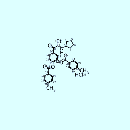 CCC(NC1CCCC1)C(=O)c1ccc(OC(=O)c2ccc(C)cc2)c(OC(=O)c2ccc(C)cc2)c1.Cl